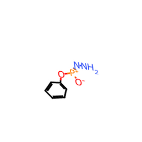 N/N=[P+](\[O-])Oc1ccccc1